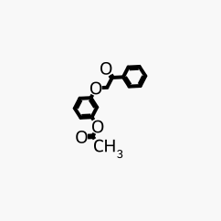 CC(=O)Oc1cccc(OCC(=O)c2ccccc2)c1